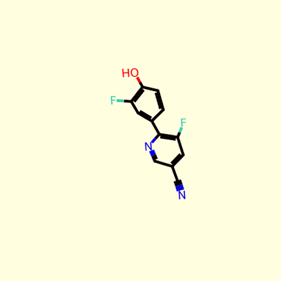 N#Cc1cnc(-c2ccc(O)c(F)c2)c(F)c1